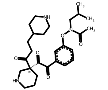 CC(=O)N(CC(C)C)Oc1cccc(C(=O)C(=O)[C@]2(C(=O)CCC3CCNCC3)CCCNC2)c1